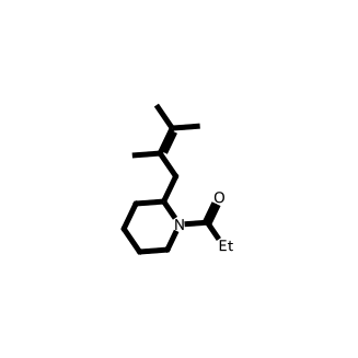 CCC(=O)N1CCCCC1CC(C)=C(C)C